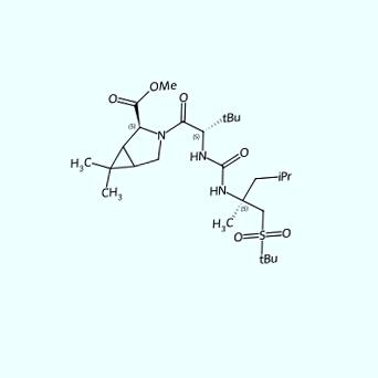 COC(=O)[C@@H]1C2C(CN1C(=O)[C@@H](NC(=O)N[C@@](C)(CC(C)C)CS(=O)(=O)C(C)(C)C)C(C)(C)C)C2(C)C